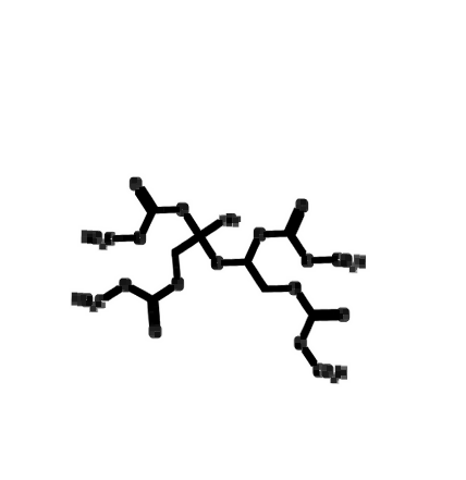 CCCC(COC(=O)OC(=O)O)(OC(=O)OC(=O)O)OC(COC(=O)OC(=O)O)OC(=O)OC(=O)O